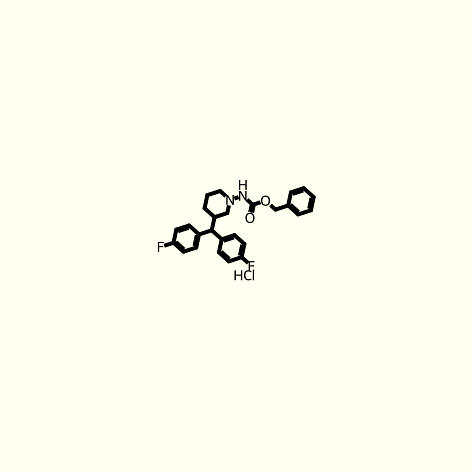 Cl.O=C(NN1CCCC(C(c2ccc(F)cc2)c2ccc(F)cc2)C1)OCc1ccccc1